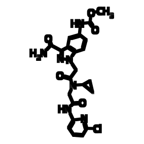 COC(=O)Nc1ccc2c(c1)c(C(N)=O)nn2CC(=O)N(CC(=O)Nc1cccc(Cl)n1)C1CC1